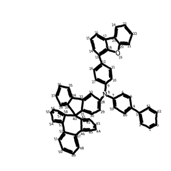 c1ccc(-c2ccc(N(c3ccc(-c4cccc5c4oc4ccccc45)cc3)c3ccc4c(c3)-c3ccccc3C43c4ccccc4-c4ccccc4-c4ccccc43)cc2)cc1